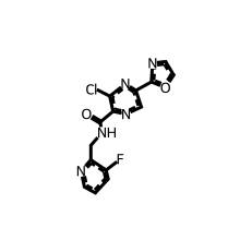 O=C(NCc1ncccc1F)c1ncc(-c2ncco2)nc1Cl